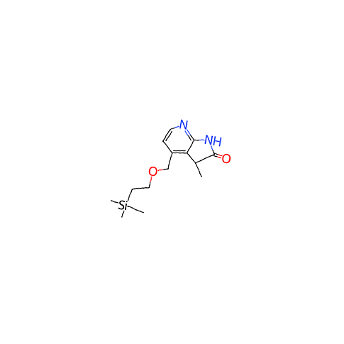 CC1C(=O)Nc2nccc(COCC[Si](C)(C)C)c21